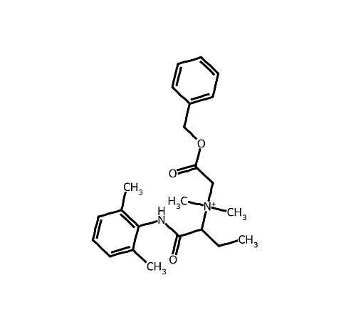 CCC(C(=O)Nc1c(C)cccc1C)[N+](C)(C)CC(=O)OCc1ccccc1